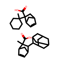 CC1(C(=O)O)C2C=CC(C2)C1C1C2CC3CC(C2)CC1C3.CC1(C2(C(=O)O)CC3C=CC2C3)CCCCC1